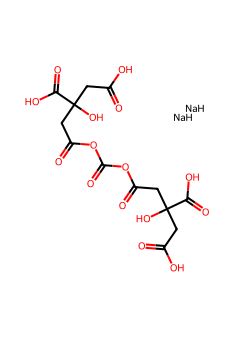 O=C(O)CC(O)(CC(=O)OC(=O)OC(=O)CC(O)(CC(=O)O)C(=O)O)C(=O)O.[NaH].[NaH]